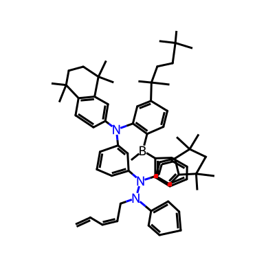 C=C/C=C\CN(c1ccccc1)N(C1=C=C2C(=C1)C(C)(C)CC2(C)C)c1cccc(N(c2ccc3c(c2)C(C)(C)CCC3(C)C)c2cc(C(C)(C)CCC(C)(C)C)ccc2B(C)c2ccccc2)c1